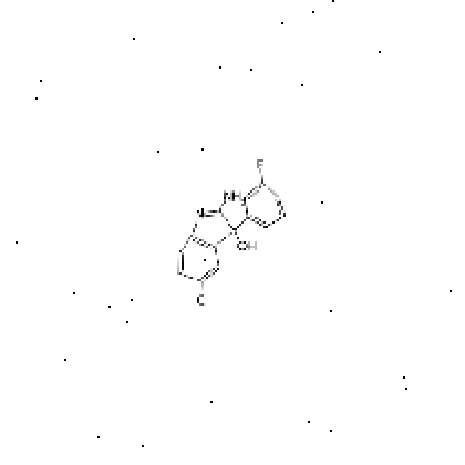 NC1=Nc2ccc(Cl)cc2C1(O)c1cccc(F)c1